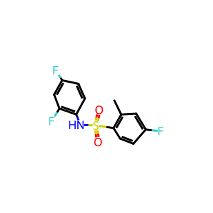 Cc1cc(F)ccc1S(=O)(=O)Nc1ccc(F)cc1F